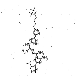 CC(C)C(C)N(N=N)c1nc(N)n(/C(N)=N/N=C(\N)Nc2nc(-n3cc(CCCCC4=CC(C)(C)C4(C)C)nn3)n[nH]2)n1